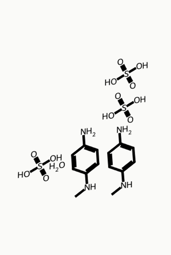 CNc1ccc(N)cc1.CNc1ccc(N)cc1.O.O=S(=O)(O)O.O=S(=O)(O)O.O=S(=O)(O)O